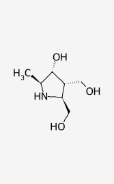 C[C@@H]1N[C@H](CO)[C@@H](CO)[C@H]1O